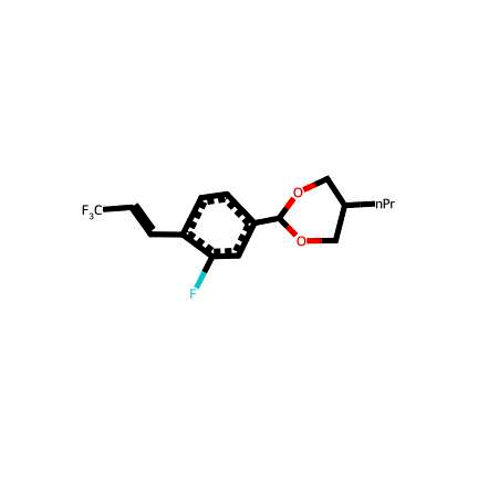 CCCC1COC(c2ccc(/C=C/C(F)(F)F)c(F)c2)OC1